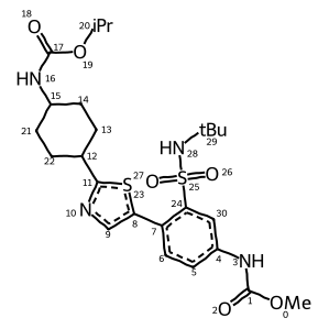 COC(=O)Nc1ccc(-c2cnc(C3CCC(NC(=O)OC(C)C)CC3)s2)c(S(=O)(=O)NC(C)(C)C)c1